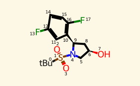 CC(C)(C)S(=O)(=O)N1C[C@H](O)C[C@@H]1c1cc(F)ccc1F